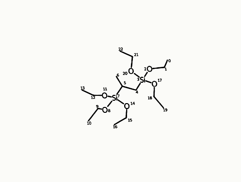 CCO[Si](CC(C)[Si](OCC)(OCC)OCC)(OCC)OCC